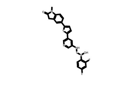 CN1C(=O)Cc2cc(-c3ccc(-c4cncc(NSN(O)c5ccc(F)cc5F)c4)s3)ccc21